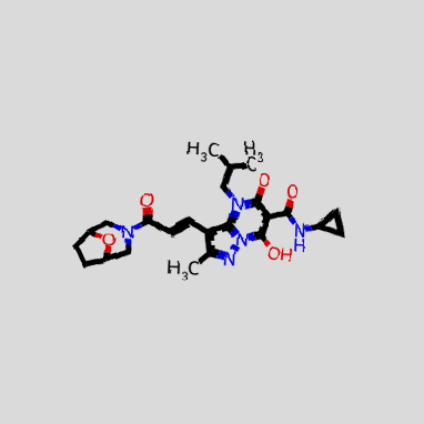 Cc1nn2c(O)c(C(=O)NC3CC3)c(=O)n(CC(C)C)c2c1C=CC(=O)N1CC2CCC(C1)O2